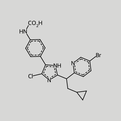 O=C(O)Nc1ccc(-c2[nH]c(C(CC3CC3)c3ccc(Br)cn3)nc2Cl)cc1